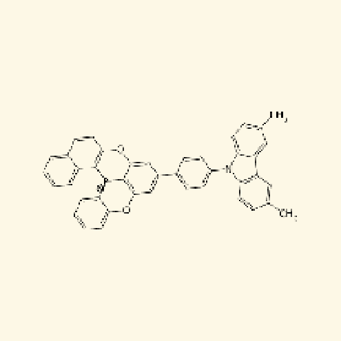 Cc1ccc2c(c1)c1cc(C)ccc1n2-c1ccc(-c2cc3c4c(c2)Oc2ccc5ccccc5c2P4(=O)c2ccccc2O3)cc1